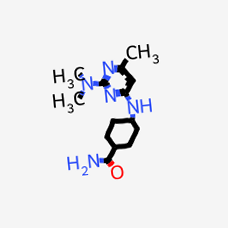 Cc1cc(NC2CCC(C(N)=O)CC2)nc(N(C)C)n1